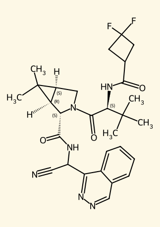 CC(C)(C)[C@H](NC(=O)C1CC(F)(F)C1)C(=O)N1C[C@H]2[C@@H]([C@H]1C(=O)NC(C#N)c1nncc3ccccc13)C2(C)C